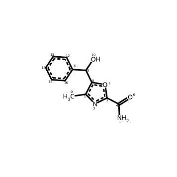 Cc1nc(C(N)=O)oc1C(O)c1ccccc1